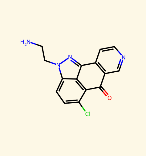 NCCn1nc2c3c(c(Cl)ccc31)C(=O)c1cnccc1-2